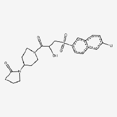 O=C(C(O)CS(=O)(=O)c1ccc2cc(Cl)ccc2c1)N1CCC(N2CCCC2=O)CC1